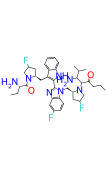 CCCC(=O)C(C(N)C(C)C)N1C[C@@H](F)C[C@H]1Cn1c(-c2[nH]c3ccccc3c2C[C@@H]2C[C@H](F)CN2C(=O)[C@@H](N)CC)nc2cc(F)ccc21